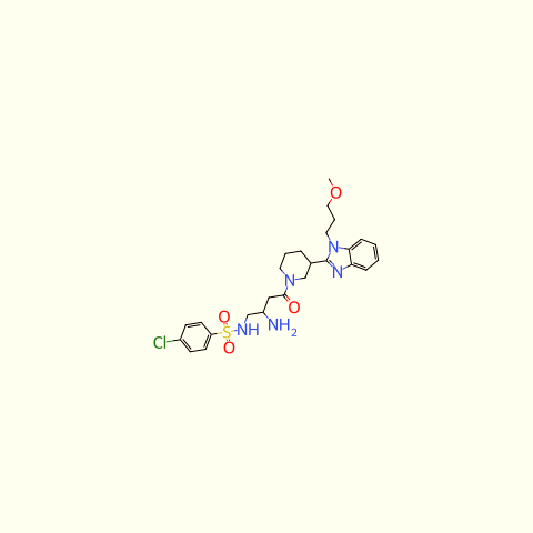 COCCCn1c(C2CCCN(C(=O)CC(N)CNS(=O)(=O)c3ccc(Cl)cc3)C2)nc2ccccc21